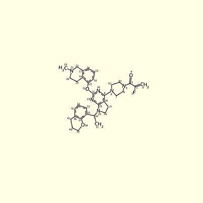 C=C(F)C(=O)N1CCN(c2nc(Oc3cccc4c3CCN(C)C4)nc3c2CCN3C(C)c2cccc3c2OCCC3)CC1